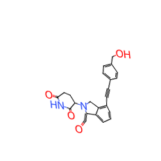 O=C=C1c2cccc(C#Cc3ccc(CO)cc3)c2CN1C1CCC(=O)NC1=O